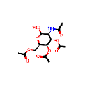 CC(=O)N[C@@H]1[C@@H](OC(C)=O)[C@@H](OC(C)=O)[C@@H](COC(C)=O)O[C@H]1O